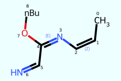 C/C=C\N=C(/C=N)OCCCC